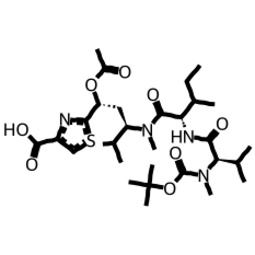 CCC(C)[C@H](NC(=O)[C@@H](C(C)C)N(C)C(=O)OC(C)(C)C)C(=O)N(C)[C@H](C[C@@H](OC(C)=O)c1nc(C(=O)O)cs1)C(C)C